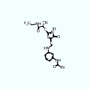 CCn1c(=C=C(C#N)C(=O)NCC(F)(F)F)sc(=C=CNc2cccc(NC(=O)C(C)C)c2)c1=O